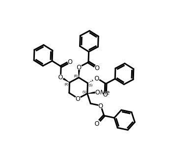 CO[C@@]1(COC(=O)c2ccccc2)OC[C@@H](OC(=O)c2ccccc2)[C@@H](OC(=O)c2ccccc2)[C@@H]1OC(=O)c1ccccc1